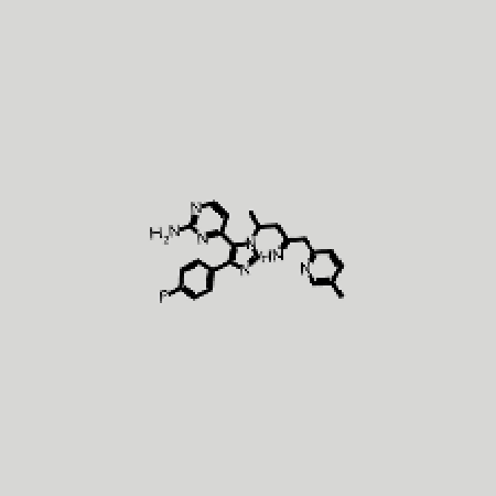 Cc1ccc(CC(=N)CC(C)n2cnc(-c3ccc(F)cc3)c2-c2ccnc(N)n2)nc1